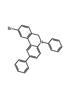 Brc1ccc2c(c1)-c1cc(-c3ccccc3)ccc1N(c1ccccc1)C2